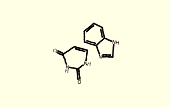 O=c1cc[nH]c(=O)[nH]1.c1ccc2[nH]cnc2c1